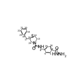 NNC(=O)c1ccc(CNC(=O)N2CCSC(Cc3ccccc3)C2)cc1